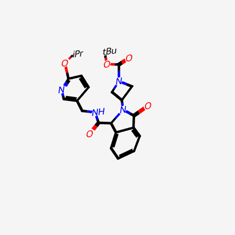 CC(C)Oc1ccc(CNC(=O)C2c3ccccc3C(=O)N2C2CN(C(=O)OC(C)(C)C)C2)cn1